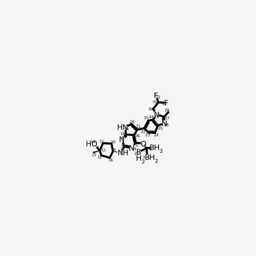 BC(B)(B)Oc1nc(N[C@H]2CC[C@@](C)(O)CC2)nc2[nH]cc(-c3ccc4nc(C)n(CC(F)F)c4c3)c12